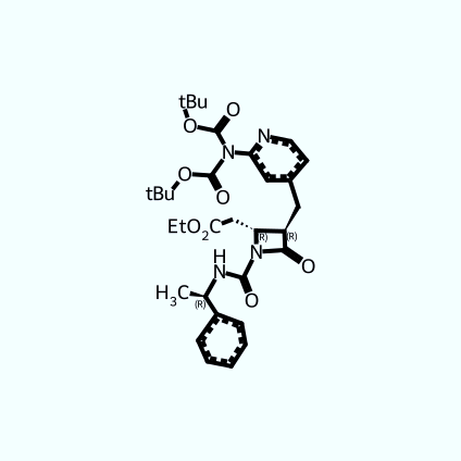 CCOC(=O)C[C@@H]1[C@@H](Cc2ccnc(N(C(=O)OC(C)(C)C)C(=O)OC(C)(C)C)c2)C(=O)N1C(=O)N[C@H](C)c1ccccc1